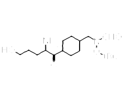 CC(C)(C)ON(C=O)CC1CCC(C(=O)C(N)CCCO)CC1